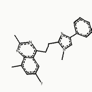 Cc1nc(CCc2nc(-c3ccccc3)cn2C)c2cc(F)cc(C)c2n1